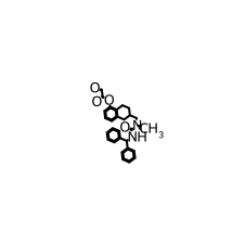 CN(CC1CCc2c(cccc2OC(=O)C=O)C1)C(=O)NC(c1ccccc1)c1ccccc1